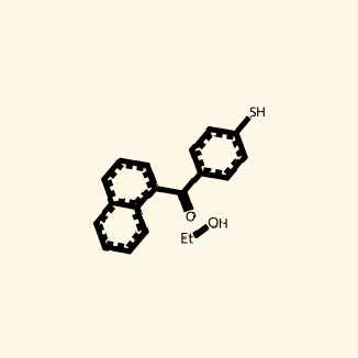 CCO.O=C(c1ccc(S)cc1)c1cccc2ccccc12